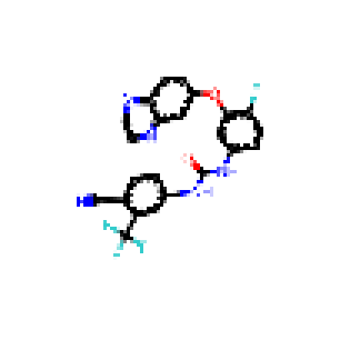 N#Cc1ccc(NC(=O)Nc2ccc(F)c(Oc3ccc4nccnc4c3)c2)cc1C(F)(F)F